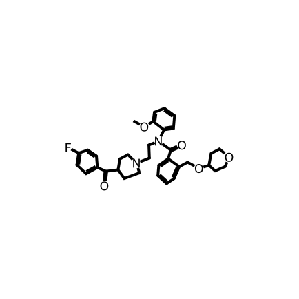 COc1ccccc1N(CCN1CCC(C(=O)c2ccc(F)cc2)CC1)C(=O)c1ccccc1COC1CCOCC1